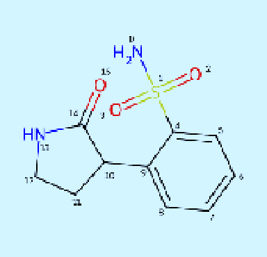 NS(=O)(=O)c1ccccc1C1CCNC1=O